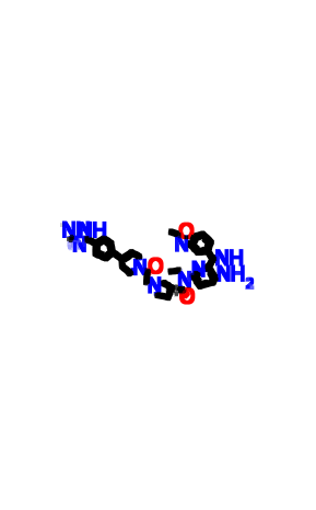 CCN(C(=O)[C@@H]1CCN(CC(=O)N2CC=C(c3ccc(C(=N)/N=C\NC)cc3)CC2)C1)c1ccc(N)c(C(=N)c2ccc3oc(C)nc3c2)n1